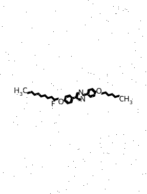 CCCCCCCCCC(F)COc1ccc(-c2cnc(-c3ccc(OCCCCCCC)cc3)nc2)cc1